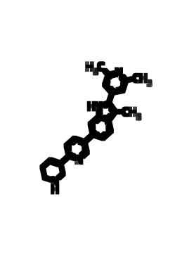 Cc1cc(-c2[nH]c3cc(-c4ccc(C5=CCCNC5)nc4)ccc3c2C)cc(C)n1